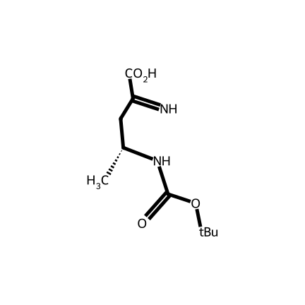 C[C@H](CC(=N)C(=O)O)NC(=O)OC(C)(C)C